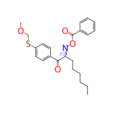 CCCCCC/C(=N\OC(=O)c1ccccc1)C(=O)c1ccc(SCOC)cc1